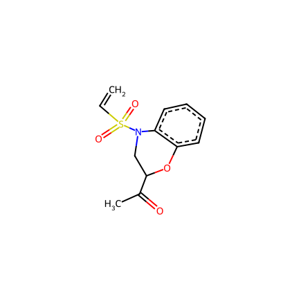 C=CS(=O)(=O)N1CC(C(C)=O)Oc2ccccc21